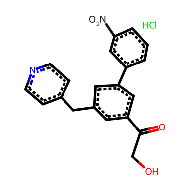 Cl.O=C(CO)c1cc(Cc2ccncc2)cc(-c2cccc([N+](=O)[O-])c2)c1